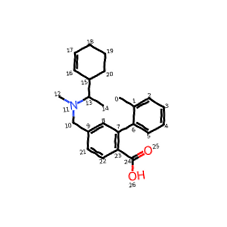 Cc1ccccc1-c1cc(CN(C)C(C)C2C=CCCC2)ccc1C(=O)O